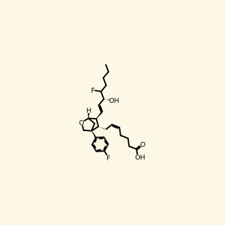 CCCCC(F)[C@H](O)/C=C/[C@@H]1[C@@H]2C[C@@](c3ccc(F)cc3)(CO2)[C@H]1C/C=C\CCCC(=O)O